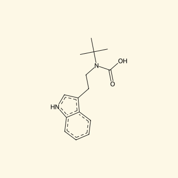 CC(C)(C)N(CCc1c[nH]c2ccccc12)C(=O)O